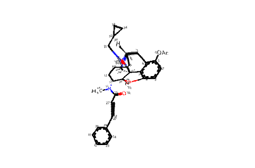 CC(=O)Oc1ccc2c3c1C[C@@H]1[C@@H]4CC[C@@H](N(C)C(=O)C=Cc5ccccc5)[C@H](O2)[C@]34CCN1CC1CC1